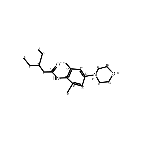 CCC(CC)CC(=O)Nc1c(C)cc(N2CCOCC2)cc1C